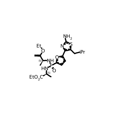 C=C(OCC)[C@H](C)NP(=O)(N[C@@H](C)C(=O)OCC)c1ccc(-c2nc(N)sc2CC(C)C)o1